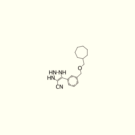 N#CC1=C(c2cccc(COCC3CCCCCC3)c2)NNN1